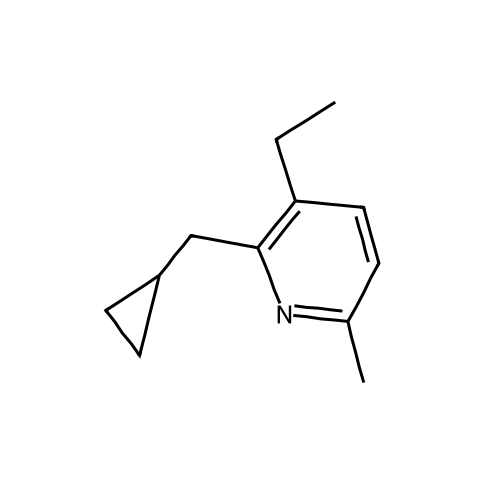 CCc1ccc(C)nc1CC1CC1